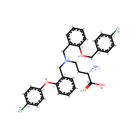 N[C@@H](CCN(Cc1ccccc1OCc1ccc(Cl)cc1)Cc1ccccc1Oc1ccc(Cl)cc1)C(=O)O